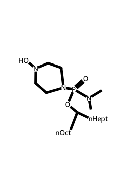 CCCCCCCCC(CCCCCCC)OP(=O)(N(C)C)N1CCN(O)CC1